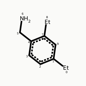 CCc1[c]cc(CN)c(CC)c1